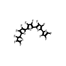 Fc1sc(-c2sc(-c3sc(-c4sc(-c5sc(F)c(F)c5F)c(F)c4F)c(F)c3F)c(F)c2F)c(F)c1F